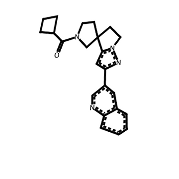 O=C(C1CCC1)N1CCC2(CCn3nc(-c4cnc5ccccc5c4)cc32)C1